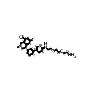 CN1Cc2c(Cl)cc(Cl)cc2[C@H](c2cccc(-c3ccc(NCCOCCOCCN)nc3)c2)C1